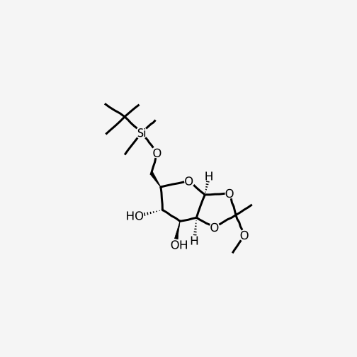 COC1(C)O[C@@H]2O[C@H](CO[Si](C)(C)C(C)(C)C)[C@@H](O)[C@H](O)[C@@H]2O1